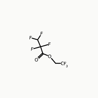 O=C(OCC(F)(F)F)C(F)(F)C(F)F